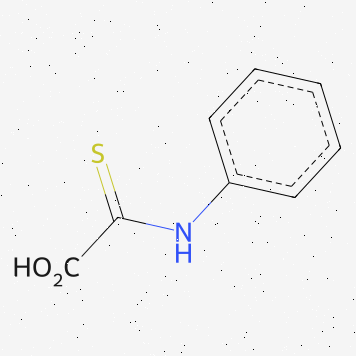 O=C(O)C(=S)Nc1ccccc1